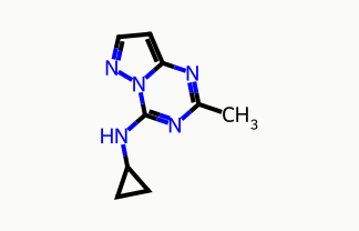 Cc1nc(NC2CC2)n2nccc2n1